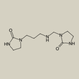 O=C1NCCN1CCCNCN1CCNC1=O